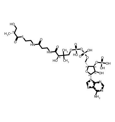 C[C@H](CO)C(=O)SCCNC(=O)CCNC(=O)[C@H](O)C(C)(C)COP(=O)(O)OP(=O)(O)OC[C@H]1O[C@@H](n2cnc3c(N)ncnc32)[C@H](O)[C@@H]1OP(=O)(O)O